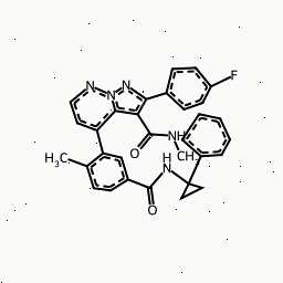 CNC(=O)c1c(-c2ccc(F)cc2)nn2nccc(-c3cc(C(=O)NC4(c5ccccc5)CC4)ccc3C)c12